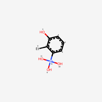 CCc1c(O)cccc1[N+](O)(O)O